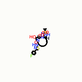 O=C1N[C@]2(C(=O)NS(=O)(=O)C3CC3)C[C@H]2/C=C\CCCCC[C@H](Nc2nc(-c3ccc(F)cc3)cs2)C(=O)N2C[C@H](O)C[C@@H]12